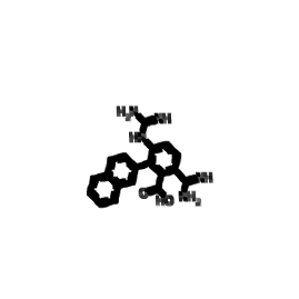 N=C(N)Nc1ccc(C(=N)N)c(C(=O)O)c1-c1ccc2ccccc2c1